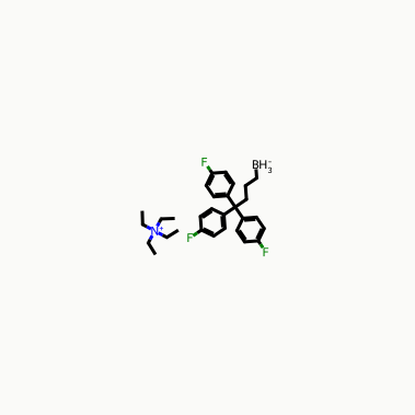 CC[N+](CC)(CC)CC.[BH3-]CCCC(c1ccc(F)cc1)(c1ccc(F)cc1)c1ccc(F)cc1